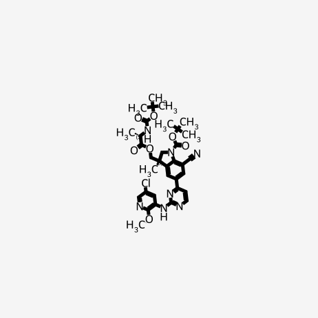 COc1ncc(Cl)cc1Nc1nccc(-c2cc(C#N)c3c(c2)[C@](C)(COC(=O)[C@H](C)NC(=O)OC(C)(C)C)CN3C(=O)OC(C)(C)C)n1